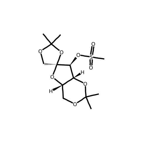 CC1(C)OC[C@@H]2O[C@]3(COC(C)(C)O3)[C@@H](OS(C)(=O)=O)[C@@H]2O1